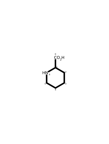 O=C(O)C1[CH]CCCN1